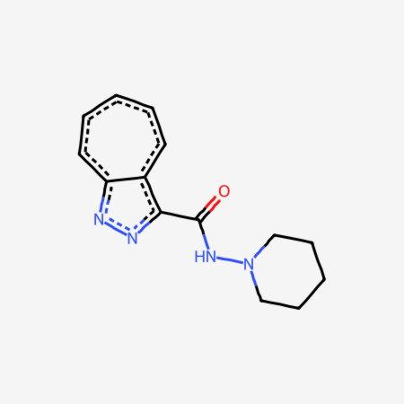 O=C(NN1CCCCC1)c1nnc2cccccc1-2